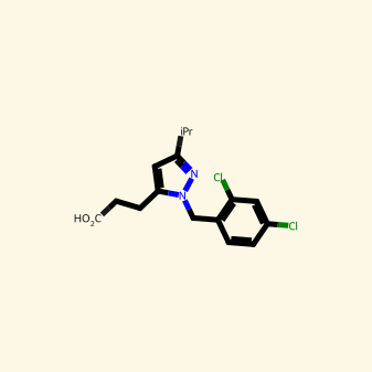 CC(C)c1cc(CCC(=O)O)n(Cc2ccc(Cl)cc2Cl)n1